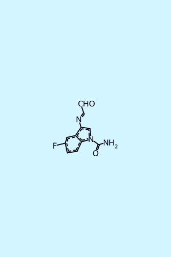 NC(=O)n1cc(N=CC=O)c2cc(F)ccc21